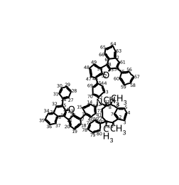 CC1c2cccc(c2)C(C)C(C)(N(c2ccc(-c3cccc4c3oc3c(-c5ccccc5)cc5ccccc5c34)cc2)c2ccc(-c3cccc4c3oc3c(-c5ccccc5)cc5ccccc5c34)cc2)CCC1(C)c1ccccc1